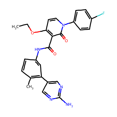 CCOc1ccn(-c2ccc(F)cc2)c(=O)c1C(=O)Nc1ccc(C)c(-c2cnc(N)nc2)c1